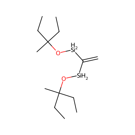 C=C([SiH2]OC(C)(CC)CC)[SiH2]OC(C)(CC)CC